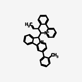 C=CC1c2ccccc2-c2cccc[n+]2C1C1c2ccccc2-c2cc(-c3ccccc3C)cc[n+]21